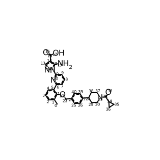 Cc1cccc(-c2cccc(-n3ncc(C(=O)O)c3N)n2)c1OCc1ccc(C2CCN(C(=O)C3CC3)CC2)cc1